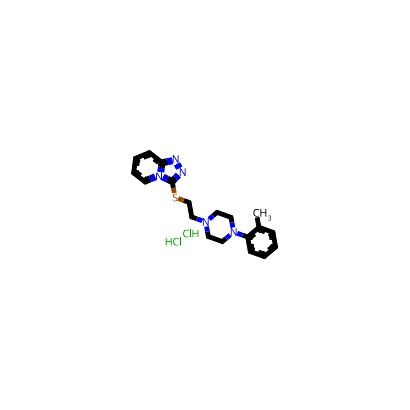 Cc1ccccc1N1CCN(CCSc2nnc3ccccn23)CC1.Cl.Cl